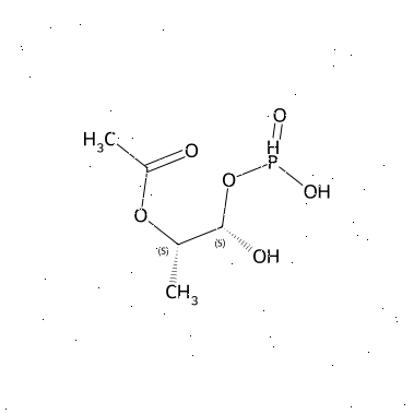 CC(=O)O[C@@H](C)[C@@H](O)O[PH](=O)O